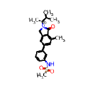 Cc1cc(-c2cccc(NS(C)(=O)=O)c2)cc2c1C(=O)N([C@@H](C)C(C)C)C2